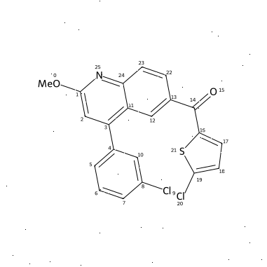 COc1cc(-c2cccc(Cl)c2)c2cc(C(=O)c3ccc(Cl)s3)ccc2n1